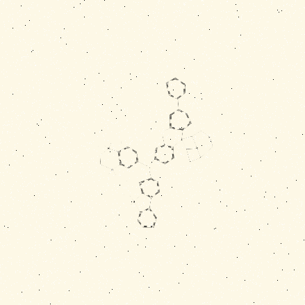 CC1(C)CCC(C)(C)c2cc(N(c3ccc4c(c3)Sc3cc(-c5ccccc5)ccc3C43C4CC5CC6CC3C64C5)c3ccc4c(c3)C(C)(C)c3ccccc3-4)ccc21